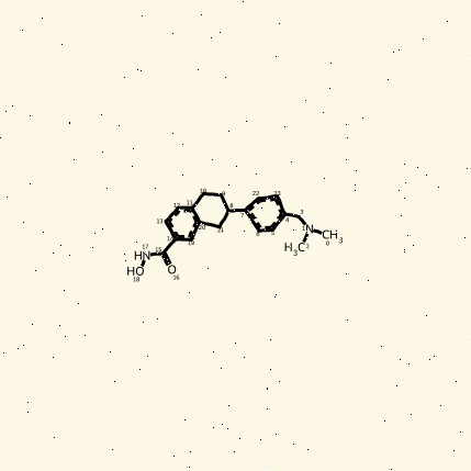 CN(C)Cc1ccc(C2CCc3ccc(C(=O)NO)cc3C2)cc1